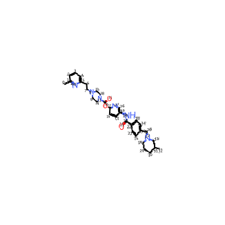 Cc1cccc(CCN2CCN(C(=O)Oc3ccc(NC(=O)c4ccc(CN5CCCC(C)C5)cc4)cn3)CC2)n1